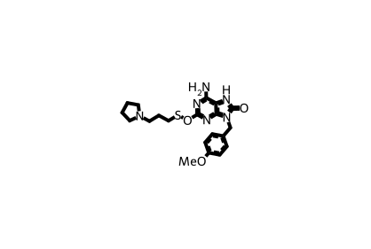 COc1ccc(Cn2c(=O)[nH]c3c(N)nc(OSCCCN4CCCC4)nc32)cc1